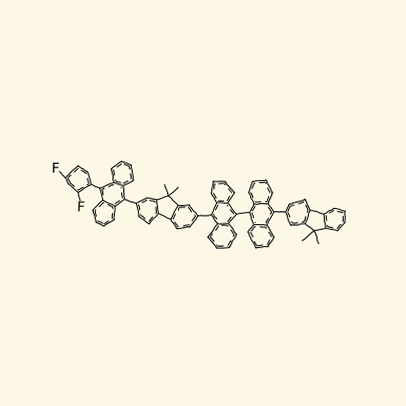 CC1(C)c2ccccc2-c2ccc(-c3c4ccccc4c(-c4c5ccccc5c(-c5ccc6c(c5)C(C)(C)c5cc(-c7c8ccccc8c(-c8ccc(F)cc8F)c8ccccc78)ccc5-6)c5ccccc45)c4ccccc34)cc21